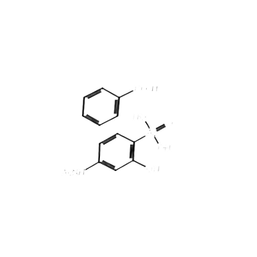 CC(=O)Nc1ccc([As](=O)(O)O)c(O)c1.O=C(O)c1ccccc1